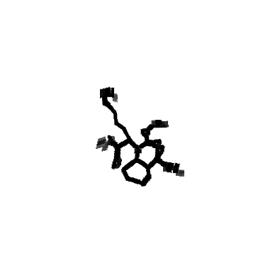 CC(C)(C)OC(=O)N(C(CCCCN)C(N)=O)C1CCCCC1C(N)=O